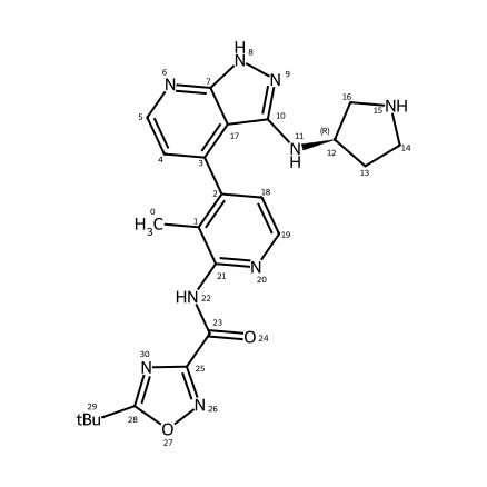 Cc1c(-c2ccnc3[nH]nc(N[C@@H]4CCNC4)c23)ccnc1NC(=O)c1noc(C(C)(C)C)n1